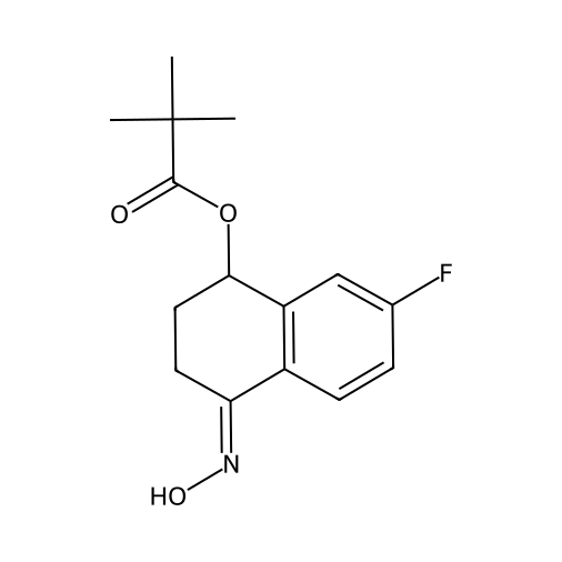 CC(C)(C)C(=O)OC1CC/C(=N\O)c2ccc(F)cc21